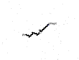 CCCCCCC/C=C/CCCCCCCC(=O)OCCC(C)CCCC(C)CCCC(C)CCCC(C)C